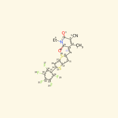 CCN1C(=O)C(C#N)=C(C)/C(=C/c2cc3sc(-c4c(F)c(F)c(F)c(F)c4F)cc3s2)C1=O